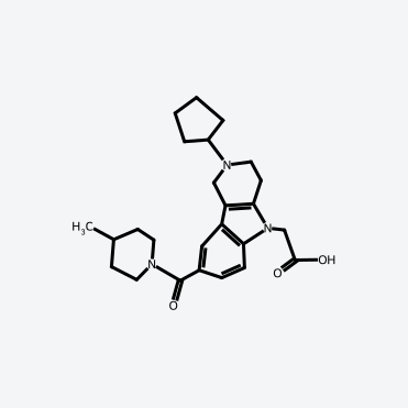 CC1CCN(C(=O)c2ccc3c(c2)c2c(n3CC(=O)O)CCN(C3CCCC3)C2)CC1